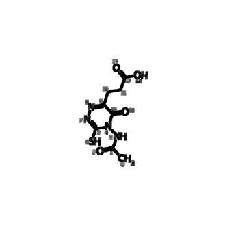 CC(=O)Nn1c(S)nnc(CCC(=O)O)c1=O